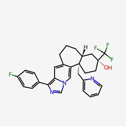 O[C@]1(C(F)(F)F)CC[C@@]2(Cc3ccccn3)c3cn4cnc(-c5ccc(F)cc5)c4cc3CCC[C@@H]2C1